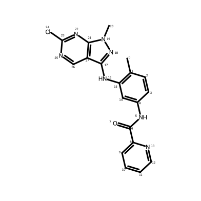 Cc1ccc(NC(=O)c2ccccn2)cc1Nc1nn(C)c2nc(Cl)ncc12